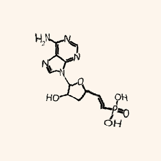 Nc1ncnc2c1ncn2C1OC(/C=C/P(=O)(O)O)CC1O